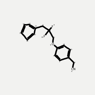 N#CCc1ccc(OCC(F)(F)Cc2ccccc2)cc1